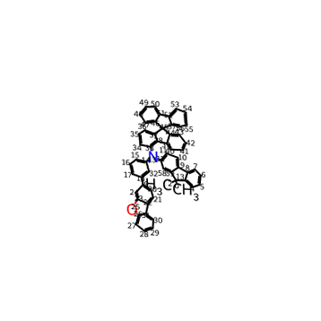 CC1(C)c2ccccc2-c2ccc(N(c3cccc(-c4ccc5c(c4)oc4ccccc45)c3)c3cccc4c3-c3ccccc3C43c4ccccc4-c4ccccc43)cc21